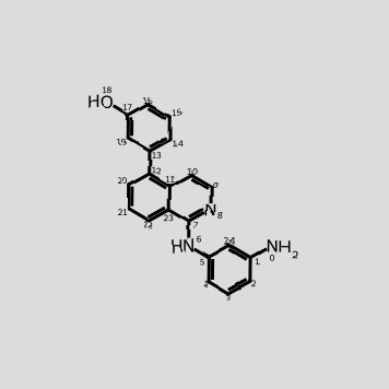 Nc1cccc(Nc2nccc3c(-c4cccc(O)c4)cccc23)c1